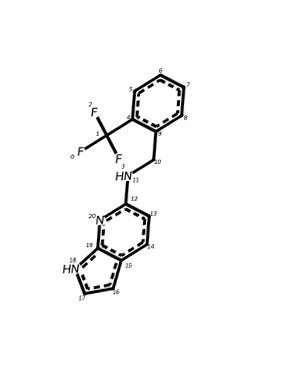 FC(F)(F)c1ccccc1CNc1ccc2cc[nH]c2n1